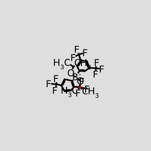 CC(C)O[B-](OC(C)C)(c1cc(C(F)(F)F)cc(C(F)(F)F)c1)c1cc(C(F)(F)F)ccc1C(F)(F)F